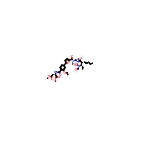 CCCCC[C@@H](C(=O)NCNC(=O)c1ccc(-c2ccc(C(=O)N[C@@H](CC(=O)OC)C(=O)OC)c(OCC)c2)o1)[C@@H](CC)N(O)C=O